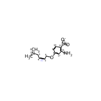 CN(C)C/C=C\COc1ccc([N+](=O)[O-])c(N)c1